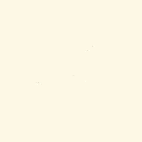 COc1ccc(CNc2nccc3c2sc2nnc(C)c(C)c23)cc1F